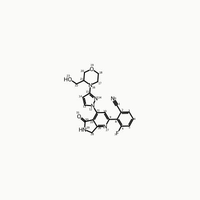 N#Cc1cccc(F)c1-c1cc(-n2ccc(N3CCOCC3CO)n2)c2c(n1)CNC2=O